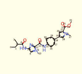 CCC(C)C(=O)Nc1cn(C)c(C(=O)Nc2ccc(-c3cc(C(=O)OC)n(C)c3)cc2)n1